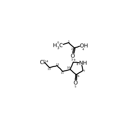 CCC(=O)O.O=C1CNCC1CCCCl